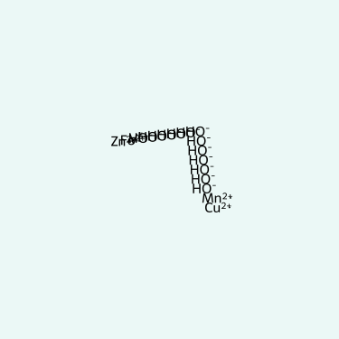 [Cu+2].[Fe+2].[Mn+2].[OH-].[OH-].[OH-].[OH-].[OH-].[OH-].[OH-].[OH-].[OH-].[OH-].[OH-].[OH-].[OH-].[V+5].[Zn+2]